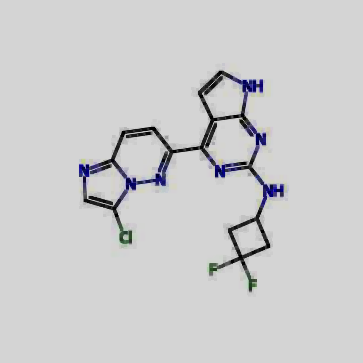 FC1(F)CC(Nc2nc(-c3ccc4ncc(Cl)n4n3)c3cc[nH]c3n2)C1